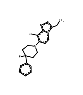 FC(F)(F)Cc1nnc2c(Cl)c(N3CCC(F)(c4ccccc4)CC3)ccn12